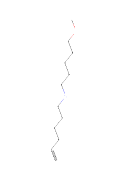 C=CCCCCNCCCCCOC